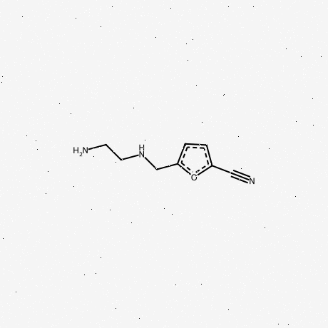 N#Cc1ccc(CNCCN)o1